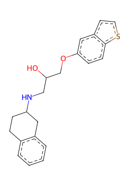 OC(CNC1CCc2ccccc2C1)COc1ccc2sccc2c1